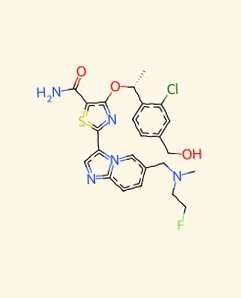 C[C@@H](Oc1nc(-c2cnc3ccc(CN(C)CCF)cn23)sc1C(N)=O)c1ccc(CO)cc1Cl